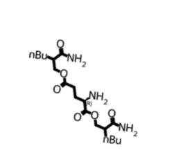 CCCCC(COC(=O)CC[C@@H](N)C(=O)OCC(CCCC)C(N)=O)C(N)=O